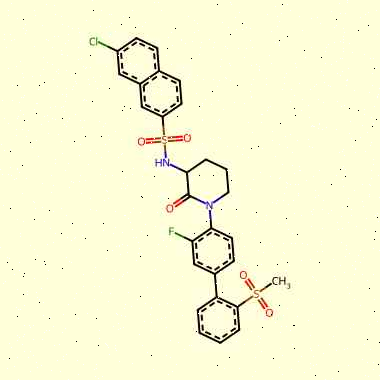 CS(=O)(=O)c1ccccc1-c1ccc(N2CCCC(NS(=O)(=O)c3ccc4ccc(Cl)cc4c3)C2=O)c(F)c1